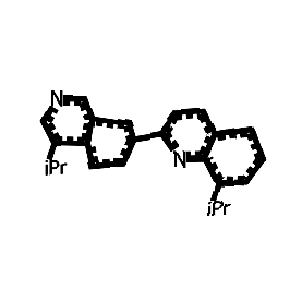 CC(C)c1cncc2cc(-c3ccc4cccc(C(C)C)c4n3)ccc12